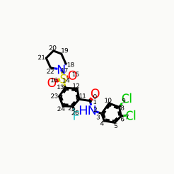 O=C(Nc1ccc(Cl)c(Cl)c1)c1cc(S(=O)(=O)N2CCCCC2)ccc1F